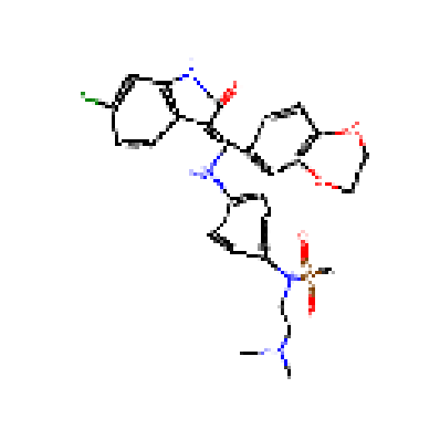 CN(C)CCN(c1ccc(NC(=C2C(=O)Nc3cc(F)ccc32)c2ccc3c(c2)OCCO3)cc1)S(C)(=O)=O